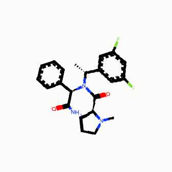 C[C@H](c1cc(F)cc(F)c1)N(C(=O)[C@@H]1CCCN1C)[C@@H](C(N)=O)c1ccccc1